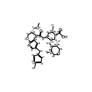 COC[C@H]1COc2ncc(Cc3ccc(F)cc3)cc2N1C(=O)CN1C[C@@H](C)N(C(=O)O)C[C@@H]1CN1[C@H](C)COC[C@H]1C